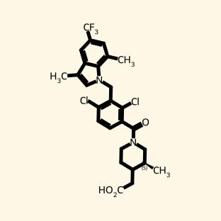 Cc1cn(Cc2c(Cl)ccc(C(=O)N3CCC(CC(=O)O)[C@H](C)C3)c2Cl)c2c(C)cc(C(F)(F)F)cc12